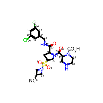 N#CC1CN(S(=O)(=O)C2CC(C(=O)NCc3cc(Cl)cc(Cl)c3)N(C(=O)C3CNCCN3C(=O)O)C2)C1